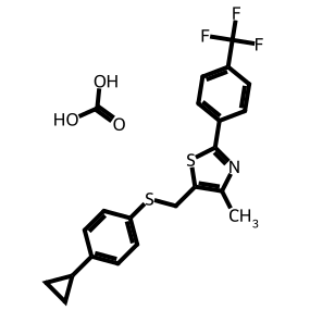 Cc1nc(-c2ccc(C(F)(F)F)cc2)sc1CSc1ccc(C2CC2)cc1.O=C(O)O